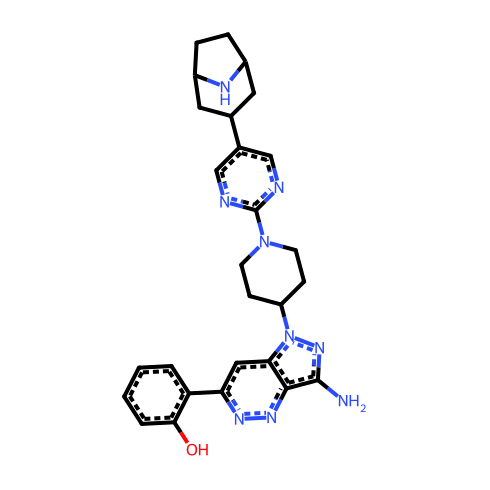 Nc1nn(C2CCN(c3ncc(C4CC5CCC(C4)N5)cn3)CC2)c2cc(-c3ccccc3O)nnc12